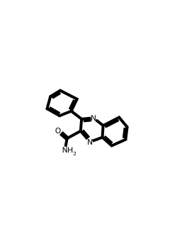 NC(=O)c1nc2ccccc2nc1-c1ccccc1